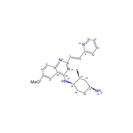 COc1ccc2nc(C=Cc3ccccn3)nc(N[C@@H]3CC[C@H](N)C[C@@H]3C)c2c1